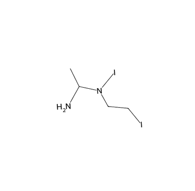 CC(N)N(I)CCI